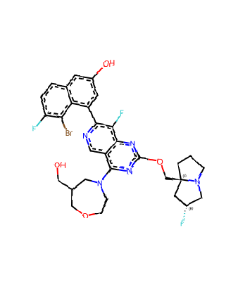 OCC1COCCN(c2nc(OC[C@@]34CCCN3C[C@H](F)C4)nc3c(F)c(-c4cc(O)cc5ccc(F)c(Br)c45)ncc23)C1